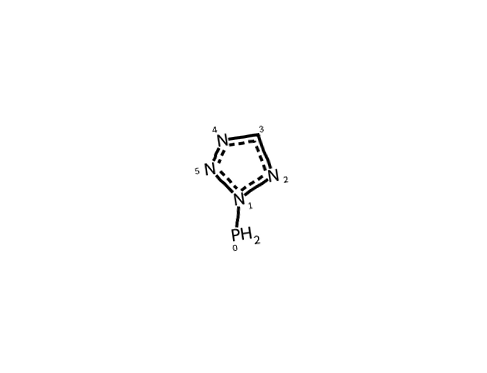 Pn1ncnn1